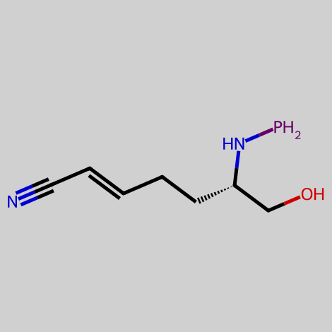 N#CC=CCC[C@@H](CO)NP